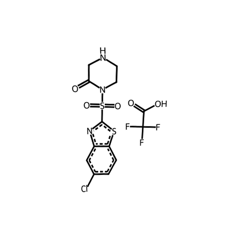 O=C(O)C(F)(F)F.O=C1CNCCN1S(=O)(=O)c1nc2cc(Cl)ccc2s1